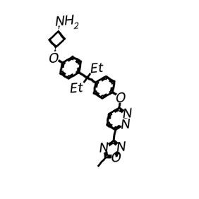 CCC(CC)(c1ccc(Oc2ccc(-c3noc(C)n3)nn2)cc1)c1ccc(O[C@H]2C[C@@H](N)C2)cc1